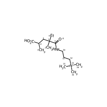 CCC(C)(CC(C)C(=O)O)C(=O)NCCC[N+](C)(C)C